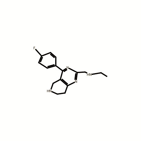 CCNCc1nc2c(c(-c3ccc(F)cc3)n1)CNCC2